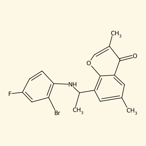 Cc1cc(C(C)Nc2ccc(F)cc2Br)c2occ(C)c(=O)c2c1